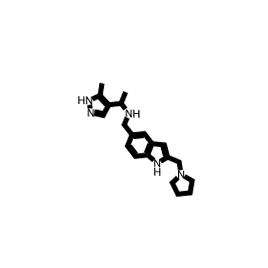 Cc1[nH]ncc1C(C)NCc1ccc2[nH]c(CN3CCCC3)cc2c1